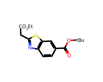 CCOC(=O)Cc1nc2ccc(C(=O)OC(C)(C)C)cc2s1